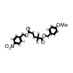 COc1ccc(COC(=O)C(C)(C)CCC(=O)OCc2ccc([N+](=O)[O-])cc2)cc1